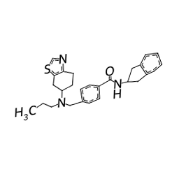 CCCN(Cc1ccc(C(=O)NC2Cc3ccccc3C2)cc1)C1CCc2ncsc2C1